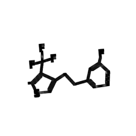 Fc1cccc(CCc2cs[c]c2C(F)(F)F)c1